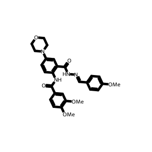 COc1ccc(/C=N/NC(=O)c2cc(N3CCOCC3)ccc2NC(=O)c2ccc(OC)c(OC)c2)cc1